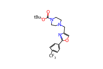 CC(C)(C)OC(=O)N1CCN(Cc2coc(-c3ccc(C(F)(F)F)cc3)n2)CC1